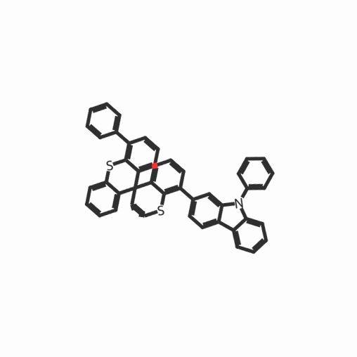 c1ccc(-c2cccc3c2Sc2ccccc2C32c3ccccc3Sc3c(-c4ccc5c6ccccc6n(-c6ccccc6)c5c4)cccc32)cc1